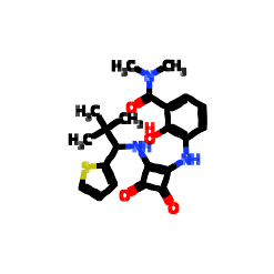 CN(C)C(=O)c1cccc(Nc2c(NC(c3cccs3)C(C)(C)C)c(=O)c2=O)c1O